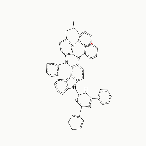 CC1Cc2ccc3c(c2-c2ccccc21)N(c1ccccc1)c1ccc2c(c1N3c1ccccc1)c1ccccc1n2C1N=C(C2=CCCC=C2)N=C(c2ccccc2)N1